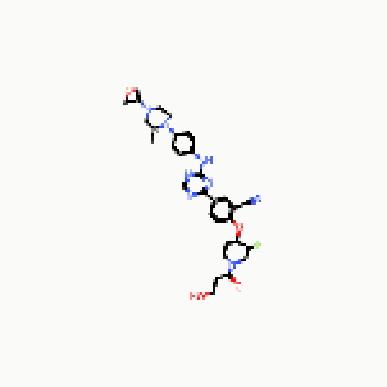 C[C@H]1CN(C2COC2)CCN1c1ccc(Nc2ncnc(-c3ccc(OC4CCN(C(=O)CCO)CC4F)c(C#N)c3)n2)cc1